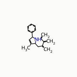 C=CC(=C)C(=C)CC1NC(c2ccccc2)C=C1C